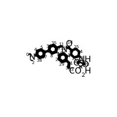 CN(C)c1ccc(-c2ccc(CN(C(=O)C3CCC(NS(C)(=O)=O)CC3)c3cccc(C=CC(=O)O)c3)cc2)cc1